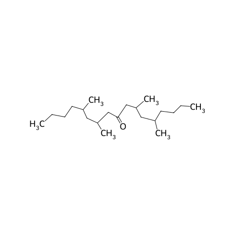 CCCCC(C)CC(C)CC(=O)CC(C)CC(C)CCCC